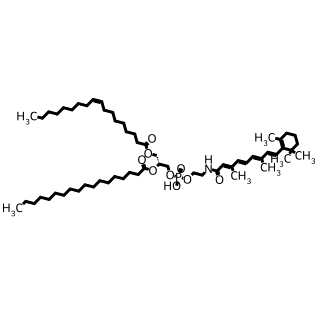 CCCCCCCC/C=C\CCCCCCCC(=O)OC[C@H](COP(=O)(O)OCCNC(=O)/C=C(C)/C=C/C=C(C)/C=C/C1=C(C)CCCC1(C)C)OC(=O)CCCCCCCCCCCCCCCCC